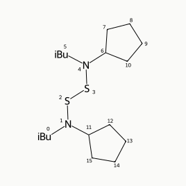 CCC(C)N(SSN(C(C)CC)C1CCCC1)C1CCCC1